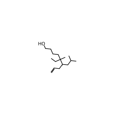 C=CC[C](CC(C)C)C(C)(CC)CCCCO